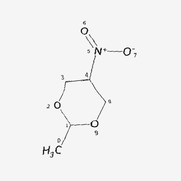 CC1OCC([N+](=O)[O-])CO1